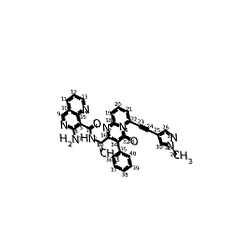 C[C@H](NC(=O)c1c(N)ncc2cccnc12)c1nc2cccc(C#Cc3cnn(C)c3)n2c(=O)c1-c1ccccc1